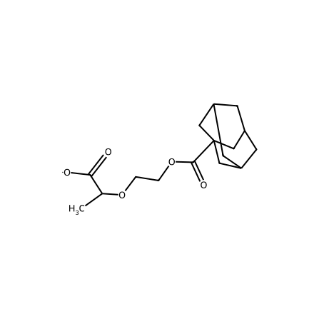 CC(OCCOC(=O)C12CC3CC(CC(C3)C1)C2)C([O])=O